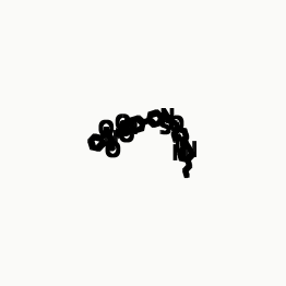 CCCc1cnc(N2CCC(Oc3nc4ccc(C5=CCN(S(=O)(=O)CCN6C(=O)c7ccccc7C6=O)CC5)cc4s3)CC2)nc1